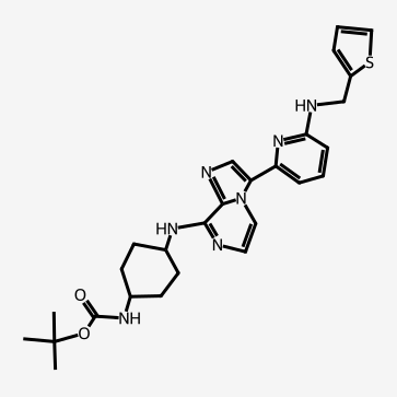 CC(C)(C)OC(=O)NC1CCC(Nc2nccn3c(-c4cccc(NCc5cccs5)n4)cnc23)CC1